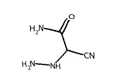 N#CC(NN)C(N)=O